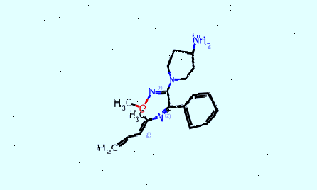 C=C/C=C(C)/N=C(\C(=N/OC)N1CCC(N)CC1)c1ccccc1